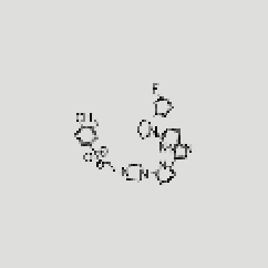 Cc1ccc(S(=O)(=O)OCCN2CCN(c3cccc(-c4cnc5ccc(N6CCC[C@@H]6c6cccc(F)c6)nn45)n3)CC2)cc1